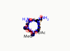 COc1ccc(C[C@@H]2NC(=O)c3csc(n3)[C@H]([C@H](O)c3ccccc3)NC(=O)c3nc(sc3C)[C@H](CC(N)=O)NC(=O)c3csc(n3)-c3ccc(-c4nc(C(N)=O)cs4)nc3-c3csc(n3)-c3csc(n3)[C@@H]3[C@@H](C)[C@@H](OC(C)=O)CN3C2=O)cc1